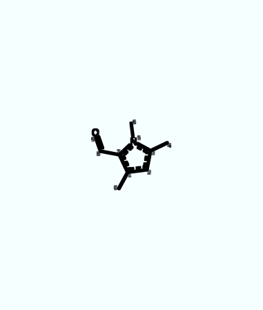 Cc1cc(C)n(C)c1C=O